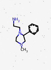 CN1CCN(CCN)C(c2ccccc2)C1